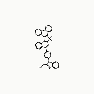 CCCc1nc2ccccc2n1-c1ccc(-c2cc3c(c4ccccc24)-c2c(c4ccccc4c4ccccc24)C3(C)C)cc1